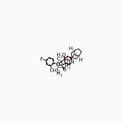 Cc1cc(F)ccc1OC(C)(C)C(=O)N[C@H]1C[C@H]2CC[C@@H](C1)N2c1ccc(S(C)(=O)=O)cn1